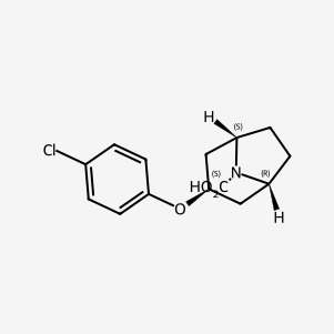 O=C(O)N1[C@@H]2CC[C@H]1C[C@H](Oc1ccc(Cl)cc1)C2